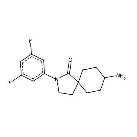 NC1CCC2(CC1)CCN(c1cc(F)cc(F)c1)C2=O